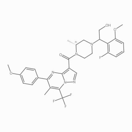 COc1ccc(-c2nc3c(C(=O)N4CCN(C(CO)c5c(F)cccc5OC)C[C@H]4C)cnn3c(C(F)(F)F)c2C)cc1